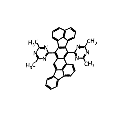 Cc1nc(C)nc(-c2c3cc4c5ccccc5c5cccc(c3c(-c3nc(C)nc(C)n3)c3c6cccc7cccc(c23)c76)c54)n1